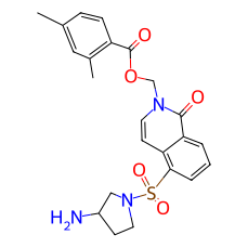 Cc1ccc(C(=O)OCn2ccc3c(S(=O)(=O)N4CCC(N)C4)cccc3c2=O)c(C)c1